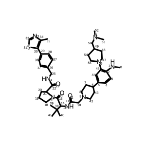 CNc1ccc(C2CCN(CC(=O)NC(C(=O)N3CCCC3C(=O)NCc3ccc(-c4scnc4C)cc3)C(C)(C)C)CC2)cc1N1CCC(CN(C)C)CC1